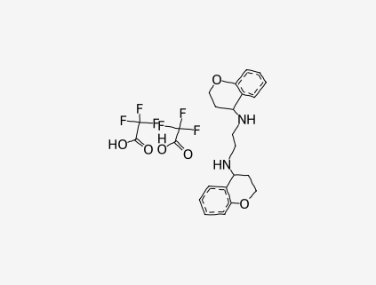 O=C(O)C(F)(F)F.O=C(O)C(F)(F)F.c1ccc2c(c1)OCCC2NCCNC1CCOc2ccccc21